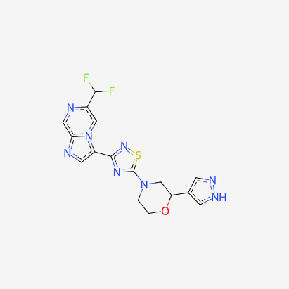 FC(F)c1cn2c(-c3nsc(N4CCOC(c5cn[nH]c5)C4)n3)cnc2cn1